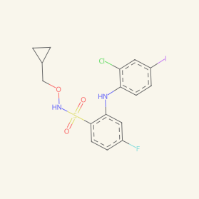 O=S(=O)(NOCC1CC1)c1ccc(F)cc1Nc1ccc(I)cc1Cl